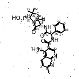 Cc1ccc2c(N)c(C(=O)NC(C(=O)N[C@@H]3C(=O)N4[C@@H]3SC(C)(C)[C@@H]4C(=O)O)c3ccccc3)cnc2n1